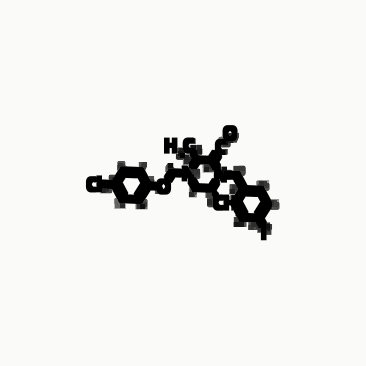 C[C@@H]1CN(COc2ccc(Cl)cc2)[C@@H](C)C(=C=O)N1Cc1ccc(F)cc1